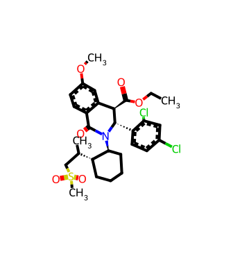 CCOC(=O)[C@@H]1c2cc(OC)ccc2C(=O)N([C@H]2CCCC[C@@H]2C(C)CS(C)(=O)=O)[C@H]1c1ccc(Cl)cc1Cl